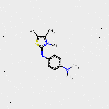 CCn1c(C)c(C(C)=O)sc1=Nc1ccc(N(C)C)cc1